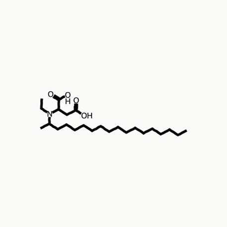 CCCCCCCCCCCCCCCCC(C)N(CC)C(CC(=O)O)C(=O)O